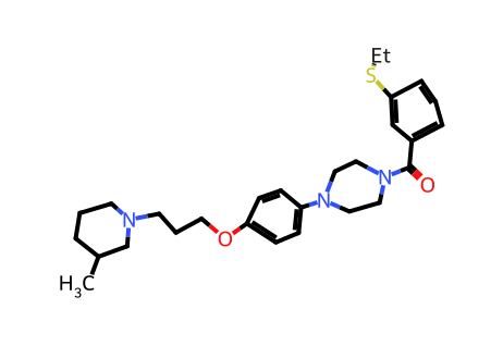 CCSc1cccc(C(=O)N2CCN(c3ccc(OCCCN4CCCC(C)C4)cc3)CC2)c1